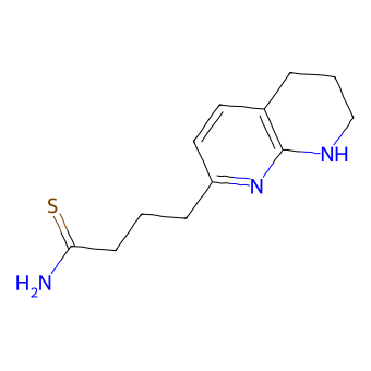 NC(=S)CCCc1ccc2c(n1)NCCC2